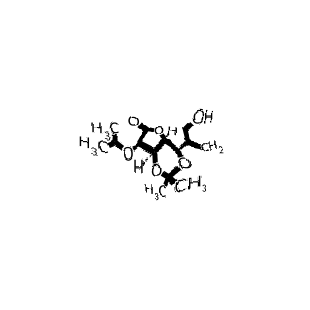 C=C(CO)[C@H]1OC(C)(C)O[C@@H]2[C@H]1OC(=O)[C@@H]2OC(C)C